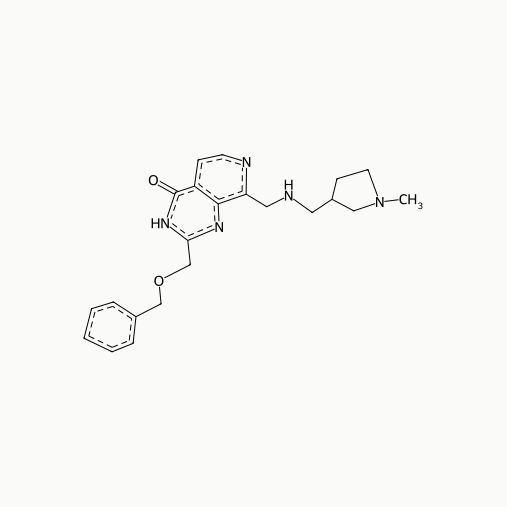 CN1CCC(CNCc2nccc3c(=O)[nH]c(COCc4ccccc4)nc23)C1